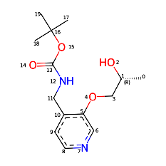 C[C@@H](O)COc1cnccc1CNC(=O)OC(C)(C)C